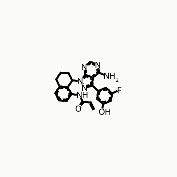 C=CC(=O)Nc1cccc2c1C(n1nc(-c3cc(O)cc(F)c3)c3c(N)ncnc31)CCC2